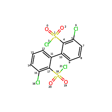 O=S(=O)(Cl)c1c(Cl)cccc1-c1cccc(Cl)c1S(=O)(=O)Cl